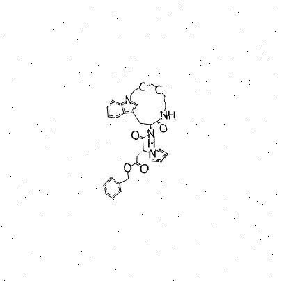 O=C(C[C@H](C(=O)N[C@H]1Cc2cn(c3ccccc23)CCCCCCNC1=O)n1cccc1)OCc1ccccc1